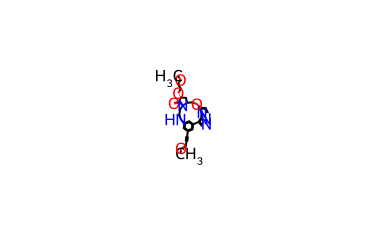 COCC#Cc1cc2cc(c1)-c1cnn3ccc(nc13)OCC1C[C@@H](OCCOC)C(=O)N1CCN2